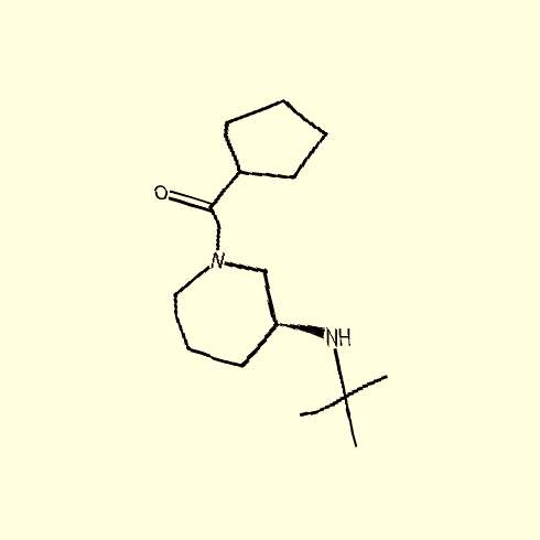 CC(C)(C)N[C@H]1CCCN(C(=O)C2CCCC2)C1